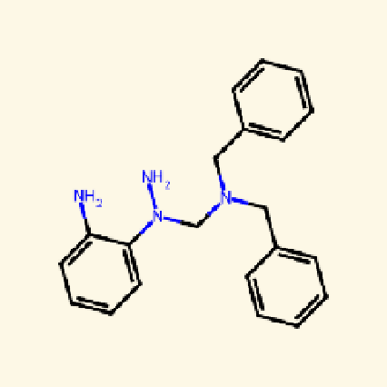 Nc1ccccc1N(N)CN(Cc1ccccc1)Cc1ccccc1